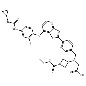 CCNC(=O)N1CC(N(CC(=O)O)Cc2ccc(-c3cc4nccc(Oc5ccc(NC(=O)NC6CC6)cc5F)c4s3)nc2)C1